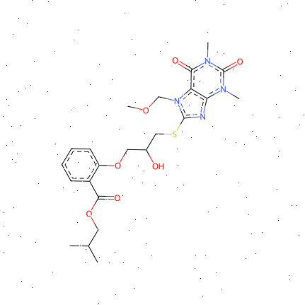 COCn1c(SCC(O)COc2ccccc2C(=O)OCC(C)C)nc2c1c(=O)n(C)c(=O)n2C